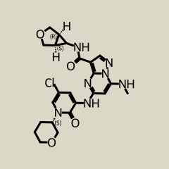 CNc1cc(Nc2cc(Cl)cn([C@H]3CCCOC3)c2=O)nc2c(C(=O)NC3[C@H]4COC[C@@H]34)cnn12